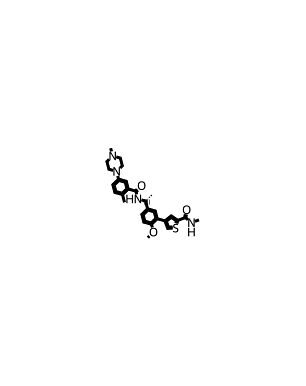 CNC(=O)c1cc(-c2cc([C@@H](C)NC(=O)c3cc(N4CCN(C)CC4)ccc3C)ccc2OC)cs1